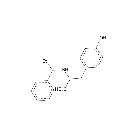 CCC(NC(Cc1ccc(O)cc1)C(=O)O)c1ccccc1